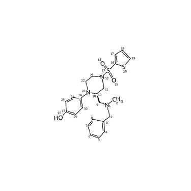 CN(Cc1ccccc1)C[C@@H]1CN(S(=O)(=O)c2cccs2)CCN1c1ccc(O)cc1